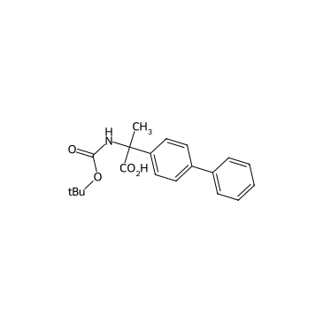 CC(C)(C)OC(=O)NC(C)(C(=O)O)c1ccc(-c2ccccc2)cc1